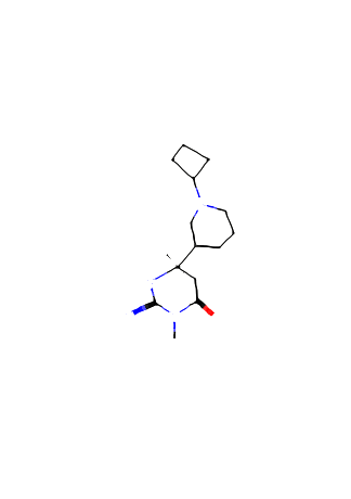 CN1C(=N)N[C@](C)(C2CCCN(C3CCC3)C2)CC1=O